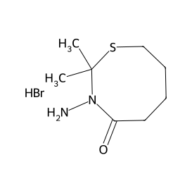 Br.CC1(C)SCCCCC(=O)N1N